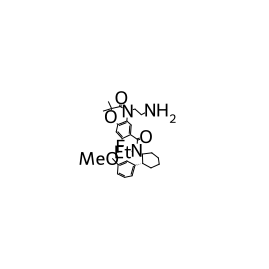 CCN(C(=O)c1cc2c(cc1F)OC(C)(C)C(=O)N2CCN)C1CCCC[C@@H]1c1cccc(OC)c1